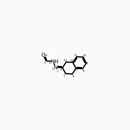 O=CN/N=C1/CCc2ccccc2C1